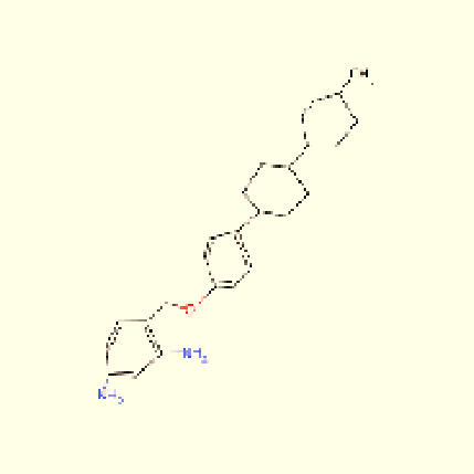 CC1CCC(C2CCC(c3ccc(OCc4ccc(N)cc4N)cc3)CC2)CC1